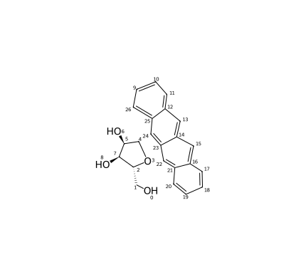 OC[C@H]1OC[C@H](O)[C@@H]1O.c1ccc2cc3cc4ccccc4cc3cc2c1